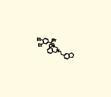 CCc1ccc(C(C#N)(CCCN(CCc2ccc3c(c2)CCC3)Cc2ccccc2)C(C)C)cc1CC